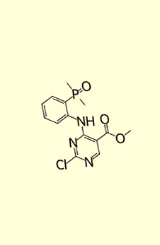 COC(=O)c1cnc(Cl)nc1Nc1ccccc1P(C)(C)=O